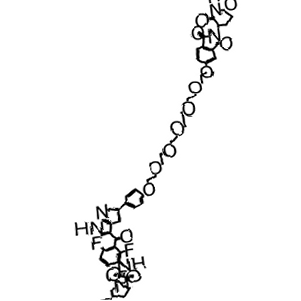 O=C1CCC(N2C(=O)c3ccc(OCCOCCOCCOCCOCCOCCOc4ccc(-c5cnc6[nH]cc(C(=O)c7c(F)ccc(NS(=O)(=O)N8CC[C@@H](F)C8)c7F)c6c5)cc4)cc3C2=O)C(=O)N1